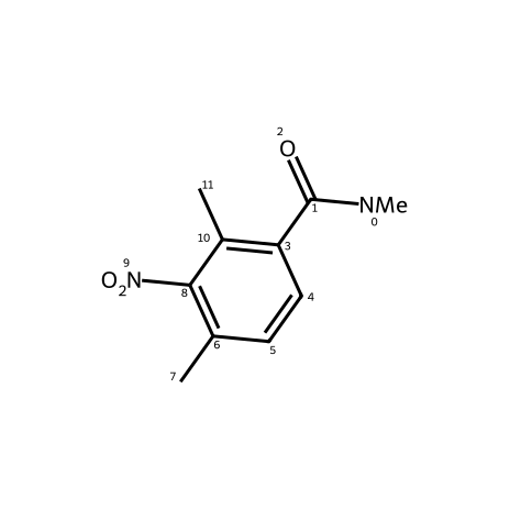 CNC(=O)c1ccc(C)c([N+](=O)[O-])c1C